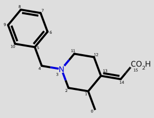 CC1CN(Cc2ccccc2)CCC1=CC(=O)O